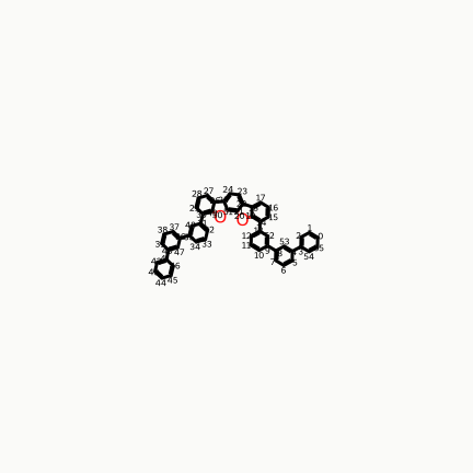 c1ccc(-c2cccc(-c3cccc(-c4cccc5c4oc4c5ccc5c6cccc(-c7cccc(-c8cccc(-c9ccccc9)c8)c7)c6oc54)c3)c2)cc1